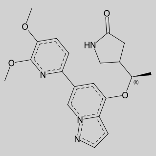 COc1ccc(-c2cc(O[C@H](C)C3CNC(=O)C3)c3ccnn3c2)nc1OC